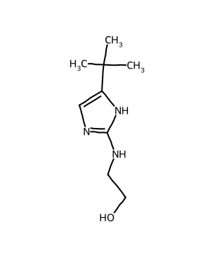 CC(C)(C)c1cnc(NCCO)[nH]1